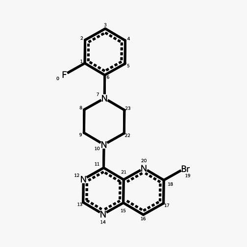 Fc1ccccc1N1CCN(c2ncnc3ccc(Br)nc23)CC1